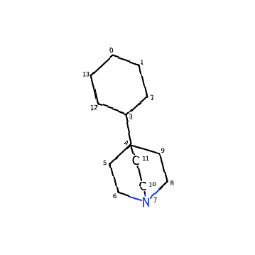 C1CCC(C23CCN(CC2)CC3)CC1